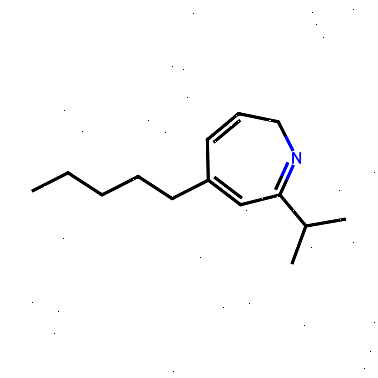 CCCCCC1=CC(C(C)C)=NCC=C1